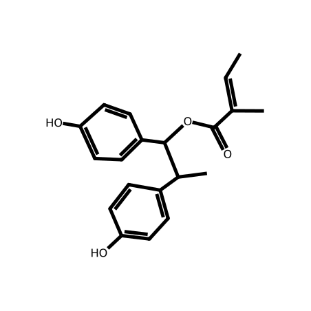 CC=C(C)C(=O)OC(c1ccc(O)cc1)C(C)c1ccc(O)cc1